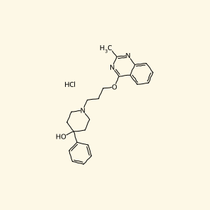 Cc1nc(OCCCN2CCC(O)(c3ccccc3)CC2)c2ccccc2n1.Cl